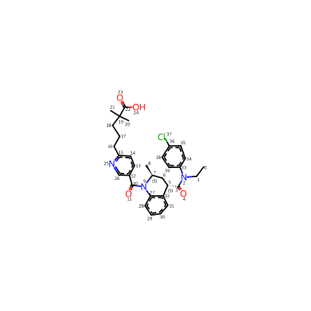 CCN(C(=O)[C@H]1C[C@H](C)N(C(=O)c2ccc(CCCC(C)(C)C(=O)O)nc2)c2ccccc21)c1ccc(Cl)cc1